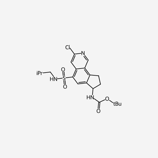 CC(C)CNS(=O)(=O)c1cc2c(c3cnc(Cl)cc13)CCC2NC(=O)OC(C)(C)C